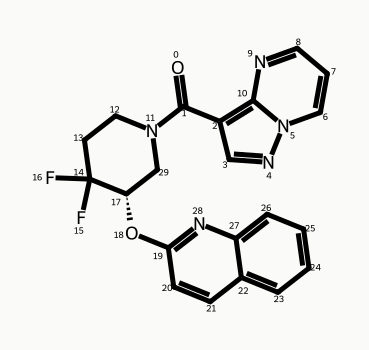 O=C(c1cnn2cccnc12)N1CCC(F)(F)[C@@H](Oc2ccc3ccccc3n2)C1